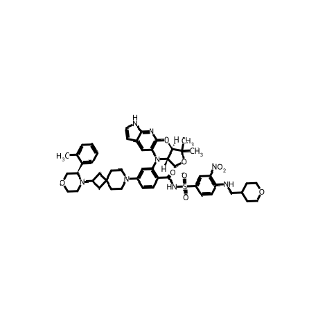 Cc1ccccc1[C@@H]1COCCN1C1CC2(CCN(c3ccc(C(=O)NS(=O)(=O)c4ccc(NCC5CCOCC5)c([N+](=O)[O-])c4)c(N4c5cc6cc[nH]c6nc5O[C@@H]5[C@@H]4COC5(C)C)c3)CC2)C1